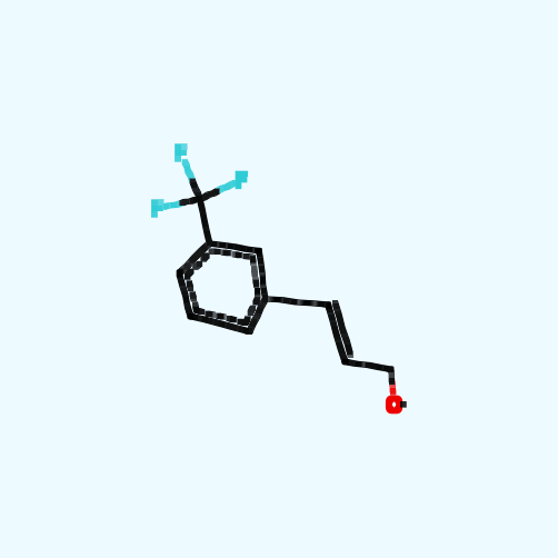 [O]C/C=C/c1cccc(C(F)(F)F)c1